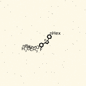 CCCCCCc1ccc(-c2ccc(-c3ccc(OCCC[Si](C)(C)CCCC)c(F)c3)s2)cc1